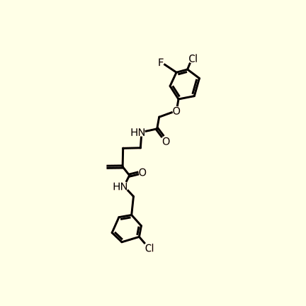 C=C(CCNC(=O)COc1ccc(Cl)c(F)c1)C(=O)NCc1cccc(Cl)c1